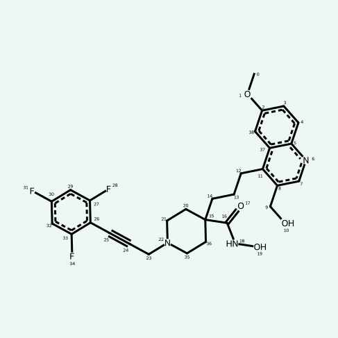 COc1ccc2ncc(CO)c(CCCC3(C(=O)NO)CCN(CC#Cc4c(F)cc(F)cc4F)CC3)c2c1